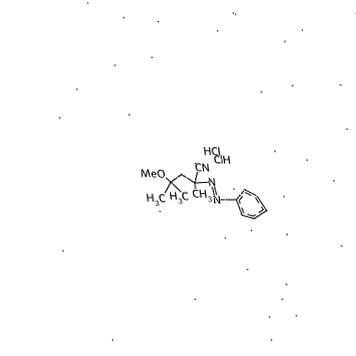 COC(C)(C)CC(C)(C#N)N=Nc1ccccc1.Cl.Cl